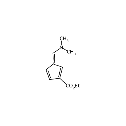 CCOC(=O)C1=CC(=CN(C)C)C=C1